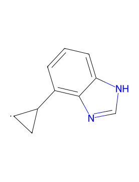 [CH]1CC1c1cccc2[nH]cnc12